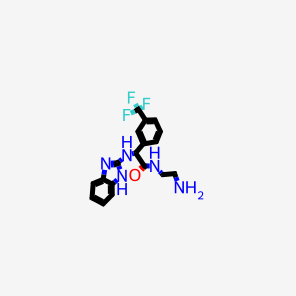 NCCNC(=O)C(Nc1nc2ccccc2[nH]1)c1cccc(C(F)(F)F)c1